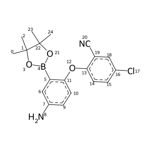 CC1(C)OB(c2cc(N)ccc2Oc2ccc(Cl)cc2C#N)OC1(C)C